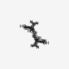 Cc1c(COc2nc(OCc3cc(C#N)cc(C#N)c3)c(CNC[C@@H](O)CC(=O)O)cc2Cl)cccc1-c1cccc(COc2nc(OCc3cc(C#N)cc(C#N)c3)c(CNC[C@@H](O)CC(=O)O)cc2Cl)c1C